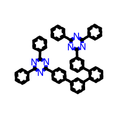 c1ccc(-c2nc(-c3ccccc3)nc(-c3ccc(-c4cccc(-c5ccccc5-c5cccc(-c6nc(-c7ccccc7)nc(-c7ccccc7)n6)c5)c4)cc3)n2)cc1